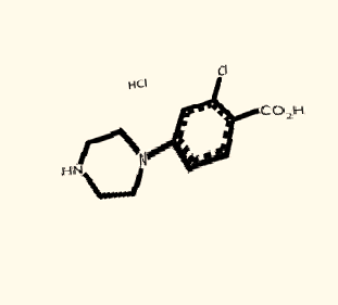 Cl.O=C(O)c1ccc(N2CCNCC2)cc1Cl